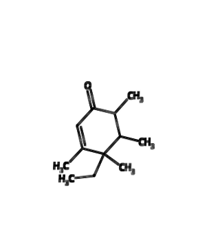 CCC1(C)C(C)=CC(=O)C(C)C1C